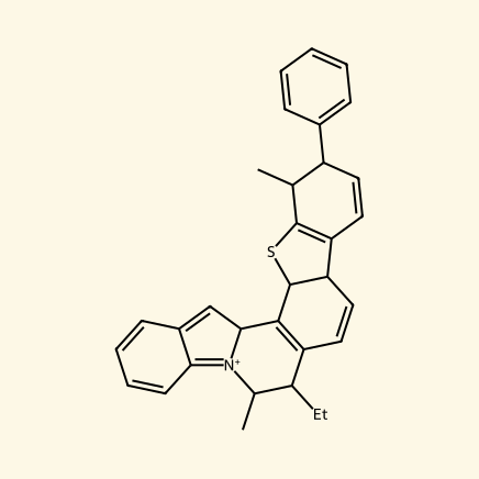 CCC1C2=C(C3SC4=C(C=CC(c5ccccc5)C4C)C3C=C2)C2C=c3ccccc3=[N+]2C1C